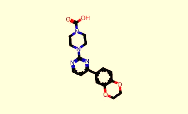 O=C(O)N1CCN(c2nccc(-c3ccc4c(c3)OCCO4)n2)CC1